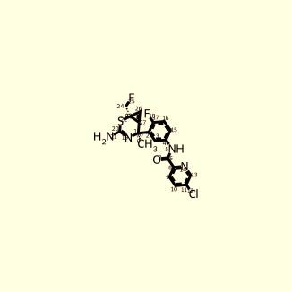 C[C@]1(c2cc(NC(=O)c3ccc(Cl)cn3)ccc2F)N=C(N)S[C@@]2(CF)C=C21